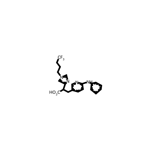 O=C(O)C(Cc1ccc(Nc2ccccc2)nc1)c1cn(CCCC(F)(F)F)cn1